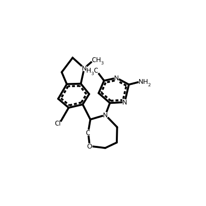 Cc1cc(N2CCCOCC2c2cc3c(cc2Cl)CCN3C)nc(N)n1